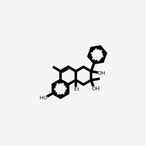 CCC12CC(C)(O)C(O)(c3ccccc3)CC1C=C(C)c1cc(O)ccc12